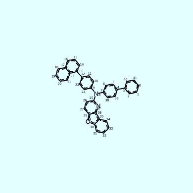 c1ccc(-c2ccc(N(c3ccc(-c4cccc5ccccc45)cc3)c3ccc4oc5ccccc5c4n3)cc2)cc1